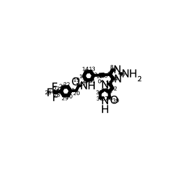 Cn1c(-c2nc(N)ncc2C#Cc2cccc(NC(=O)Cc3ccc(C(F)(F)F)cc3)c2)cc2c1CCNC2=O